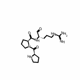 N=C(N)NCCC[C@@H](C=O)NC(=O)[C@@H]1CCCN1C(=O)[C@H]1CCCN1